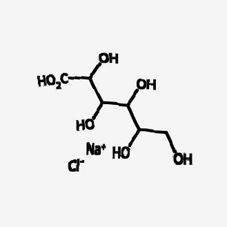 O=C(O)C(O)C(O)C(O)C(O)CO.[Cl-].[Na+]